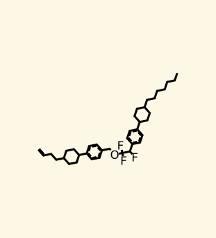 C=CCCC1CCC(c2ccc(COC(F)(F)C(F)c3ccc(C4CCC(CCCCCCC)CC4)cc3)cc2)CC1